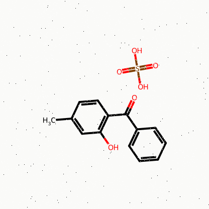 Cc1ccc(C(=O)c2ccccc2)c(O)c1.O=S(=O)(O)O